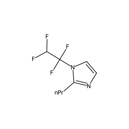 CCCc1nccn1C(F)(F)C(F)F